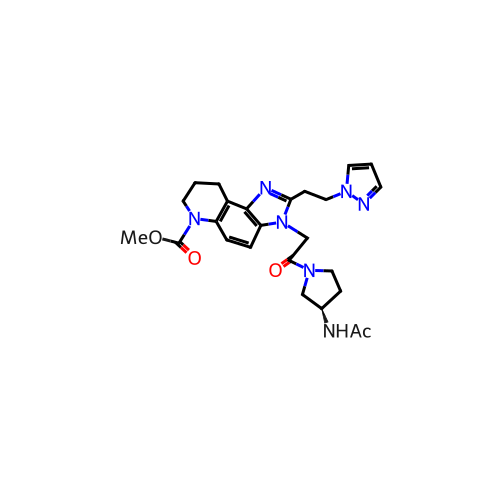 COC(=O)N1CCCc2c1ccc1c2nc(CCn2cccn2)n1CC(=O)N1CC[C@@H](NC(C)=O)C1